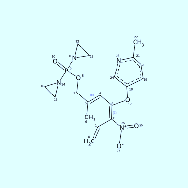 C=C/C(=C(\C=C(/C)COP(=O)(N1CC1)N1CC1)Oc1ccc(C)nc1)[N+](=O)[O-]